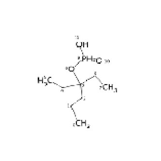 CCCC(CC)(CC)O[PH](=O)O